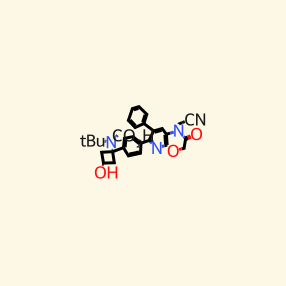 CC(C)(C)N(C(=O)O)[C@]1(c2ccc(-c3nc4c(cc3-c3ccccc3)N(CC#N)C(=O)CO4)cc2)C[C@@H](O)C1